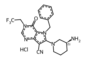 Cl.N#Cc1c(N2CCC[C@H](N)C2)n(Cc2ccccc2)c2c(=O)n(CC(F)(F)F)cnc12